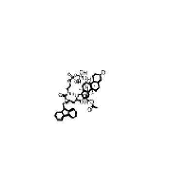 CCCC1O[C@@H]2C[C@H]3[C@@H]4CCC5=CC(=O)C=C[C@]5(C)[C@H]4[C@@H](OP(=O)(O)OP(=O)(O)OCCNC(=O)OCC4c5ccccc5-c5ccccc54)C[C@]3(C)[C@]2(C(=O)COC(C)=O)O1